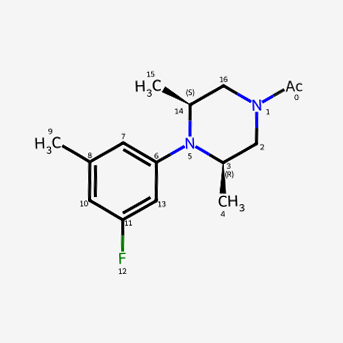 CC(=O)N1C[C@@H](C)N(c2cc(C)cc(F)c2)[C@@H](C)C1